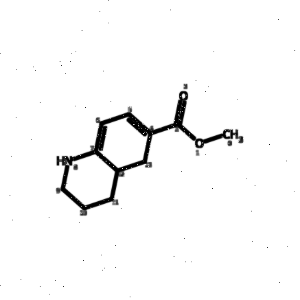 COC(=O)C1=CC=C2NCCCC2C1